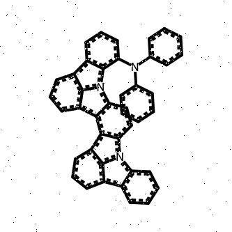 c1ccc(N(c2ccccc2)c2cccc3c4cccc5c6c7c8cccc9c%10ccccc%10n(c7ccc6n(c23)c45)c98)cc1